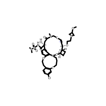 COC1CN(CCO[C@H]2/C=C/CCN(C)C(=O)C[C@](O)(C(=O)NS(=O)(=O)N(C)C)c3ccc4c(c3)N(CCCCc3cc(Cl)ccc3CCO4)C[C@@H]3CC[C@H]32)C1